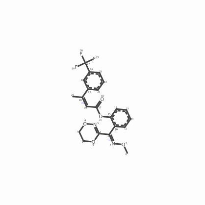 CO/N=C(/C1=NOCCO1)c1ccccc1OC(=O)/C=C(/C)c1cccc(C(F)(F)F)c1